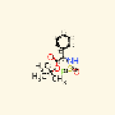 CC(C)(C)OC(=O)C(N[S+]([O-])F)c1ccccc1